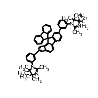 CC1=NC(C)(C)C(C)(C)N1c1cccc(-c2ccc3c(c2)C2(c4ccccc4-c4ccccc42)c2c-3ccc3cc(-c4cccc(N5C(C)=NC(C)(C)C5(C)C)c4)ccc23)c1